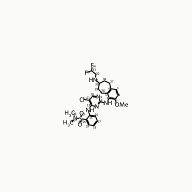 COc1ccc2c(c1Nc1ncc(Cl)c(Nc3ccccc3S(=O)(=O)N(C)C)n1)CCC(NCC(F)F)CC2